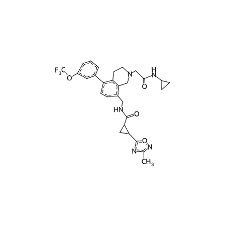 Cc1noc(C2CC2C(=O)NCc2ccc(-c3cccc(OC(F)(F)F)c3)c3c2CN(CC(=O)NC2CC2)CC3)n1